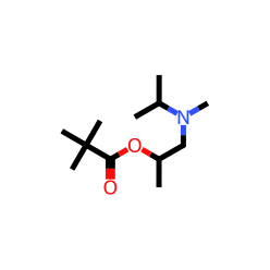 CC(CN(C)C(C)C)OC(=O)C(C)(C)C